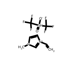 C=C[n+]1ccn(C)c1.O=[SH]([O-])(C(F)(F)F)C(F)(F)F